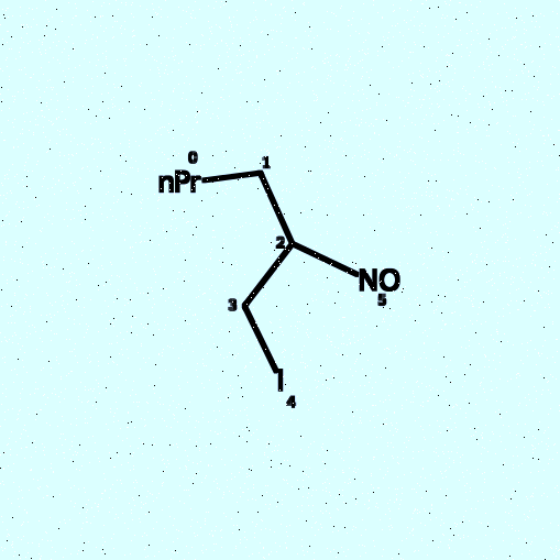 CCCCC(CI)N=O